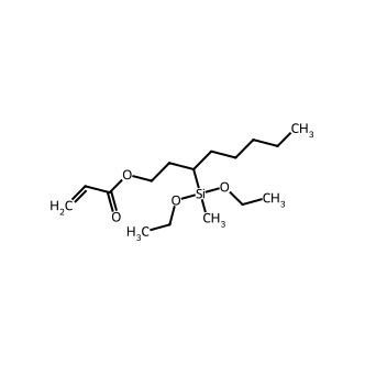 C=CC(=O)OCCC(CCCCC)[Si](C)(OCC)OCC